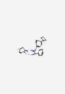 NC1(c2ccc(-c3nc4c5cc(Br)ccc5nn4cc3-c3ccccc3)cc2)CCC1